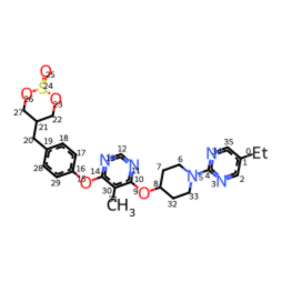 CCc1cnc(N2CCC(Oc3ncnc(Oc4ccc(CC5COS(=O)OC5)cc4)c3C)CC2)nc1